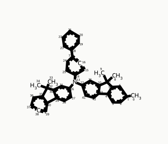 Cc1ccc2c(c1)C(C)(C)c1cc(N(c3ccc(-c4ccccc4)cc3)c3ccc4c(c3)C(C)(C)c3ccccc3-4)ccc1-2